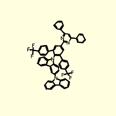 FC(F)(F)c1ccc(-c2cc(-c3nc(-c4ccccc4)cc(-c4ccccc4)n3)cc(-c3ccc(C(F)(F)F)cc3)c2-n2c3ccccc3c3cc(-n4c5ccccc5c5ccccc54)ccc32)cc1